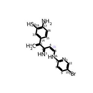 C=C(C(=N)/C=C\Nc1ccc(Br)cn1)c1ccc(N)c(S)c1